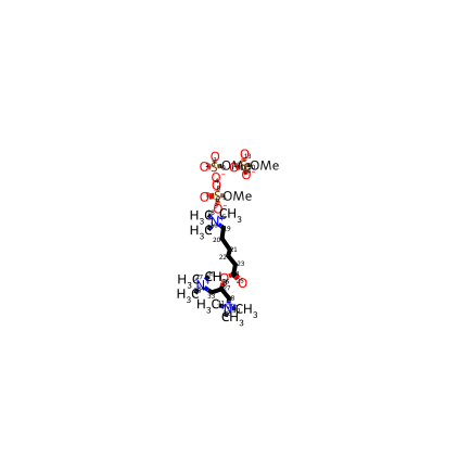 COS(=O)(=O)[O-].COS(=O)(=O)[O-].COS(=O)(=O)[O-].C[N+](C)(C)CCCCCC(=O)OC(C[N+](C)(C)C)C[N+](C)(C)C